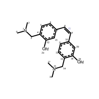 CN(C)Cc1ccc(/C=C\c2ccc(CN(C)C)c(O)c2)cc1O